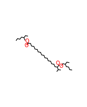 CCCCC(CC)COC(=O)CCCCCCCCCCCCCCCCC(C(=O)OCC(CC)CCCC)C(C)C